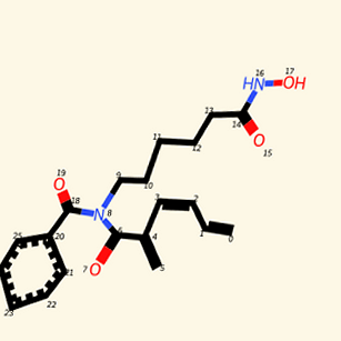 C=C/C=C\C(=C)C(=O)N(CCCCCC(=O)NO)C(=O)c1ccccc1